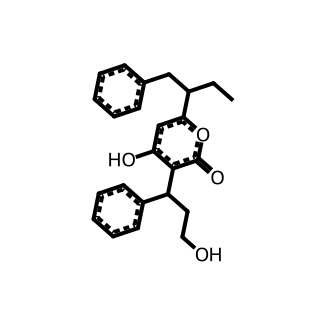 CCC(Cc1ccccc1)c1cc(O)c(C(CCO)c2ccccc2)c(=O)o1